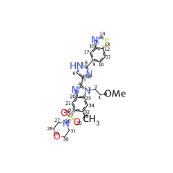 COCCn1c(-c2c[nH]c(-c3ccc4scnc4c3)n2)nc2cc(S(=O)(=O)N3CCOCC3)c(C)cc21